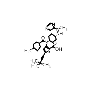 CC1CCC(C(=O)N(c2cc(C#CC(C)(C)C)sc2C(=O)O)[C@H]2CC[C@H](NN(C)c3cnccn3)CC2)CC1